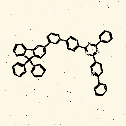 c1ccc(-c2ccc(-c3nc(-c4ccccc4)nc(-c4ccc(-c5cccc(-c6ccc7c(c6)-c6ccccc6C7(c6ccccc6)c6ccccc6)c5)cc4)n3)cn2)cc1